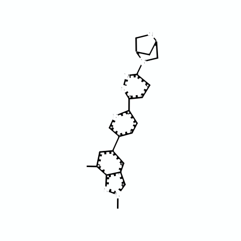 Cn1cc2cc(-c3ccc(-c4ccc(N5CC6CC5CN6)nn4)nc3)cc(F)c2n1